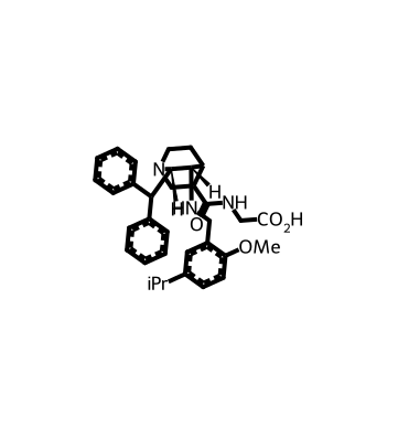 COc1ccc(C(C)C)cc1CN[C@H]1C2CCN(CC2C(=O)NCC(=O)O)[C@H]1C(c1ccccc1)c1ccccc1